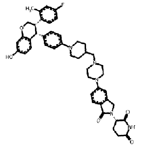 Cc1cc(F)ccc1[C@H]1COc2cc(O)ccc2[C@H]1c1ccc(N2CCC(CN3CCN(c4ccc5c(c4)CN([C@H]4CCC(=O)NC4=O)C5=O)CC3)CC2)cc1